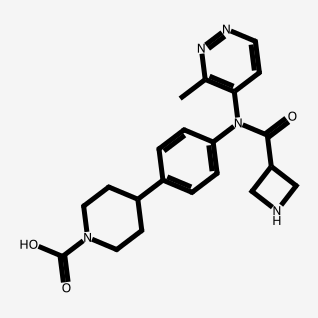 Cc1nnccc1N(C(=O)C1CNC1)c1ccc(C2CCN(C(=O)O)CC2)cc1